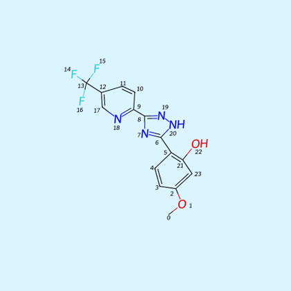 COc1ccc(-c2nc(-c3ccc(C(F)(F)F)cn3)n[nH]2)c(O)c1